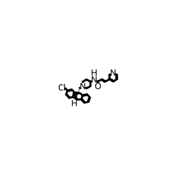 O=C(C=Cc1cccnc1)NC1CCN(C[C@@]23C[C@H](c4ccccc42)c2ccc(Cl)cc23)CC1